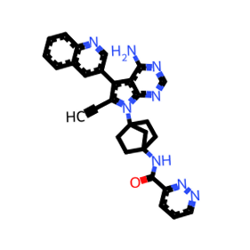 C#Cc1c(-c2cnc3ccccc3c2)c2c(N)ncnc2n1C12CCC(NC(=O)c3cccnn3)(CC1)C2